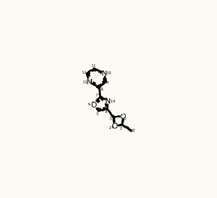 CC1OC(c2coc(-c3cnccn3)n2)O1